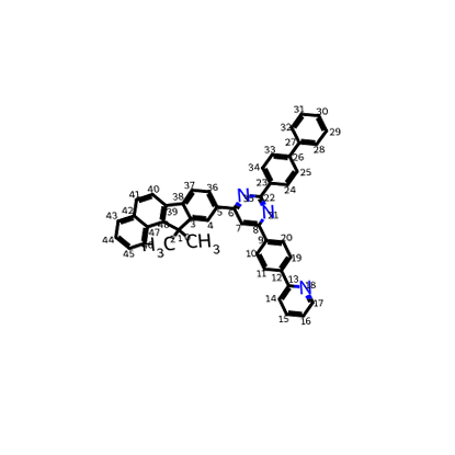 CC1(C)c2cc(-c3cc(-c4ccc(-c5ccccn5)cc4)nc(-c4ccc(-c5ccccc5)cc4)n3)ccc2-c2ccc3ccccc3c21